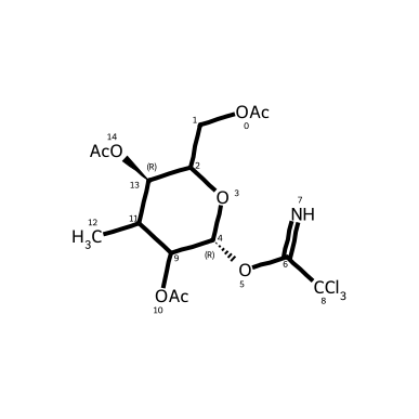 CC(=O)OCC1O[C@H](OC(=N)C(Cl)(Cl)Cl)C(OC(C)=O)C(C)[C@H]1OC(C)=O